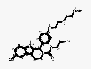 COCCOCCOc1ccc(C2c3[nH]c4ccc(Cl)cc4c3CCN2C(=O)OCCF)cc1